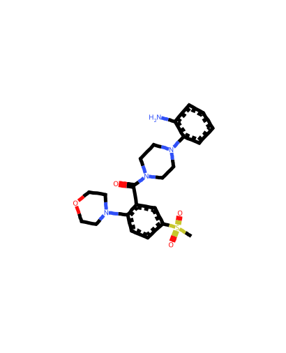 CS(=O)(=O)c1ccc(N2CCOCC2)c(C(=O)N2CCN(c3ccccc3N)CC2)c1